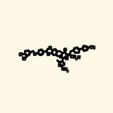 Cc1nc(N)sc1C(=O)N1Cc2cc3c(cc2C[C@H]1C(=O)N[C@@H](Cc1ccc(-c2ccc(C#N)cc2)cc1)C(=O)O)OCC(c1ccc(OCc2ccc(Cl)c(Cl)c2)cc1)O3